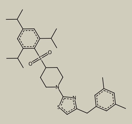 Cc1cc(C)cc(Cc2csc(N3CCC(S(=O)(=O)c4c(C(C)C)cc(C(C)C)cc4C(C)C)CC3)n2)c1